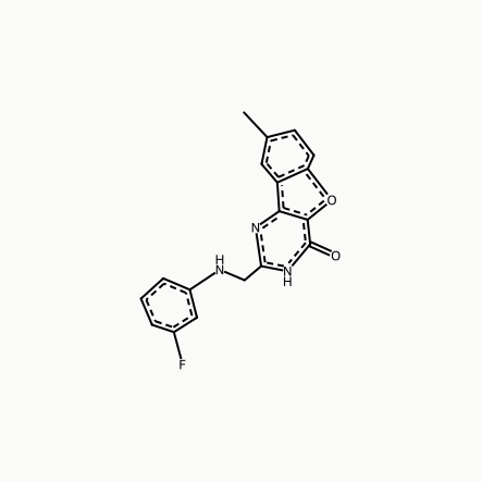 Cc1ccc2oc3c(=O)[nH]c(CNc4cccc(F)c4)nc3c2c1